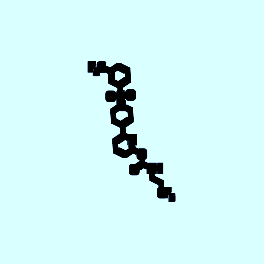 O=C(NCCC(F)(F)F)Oc1cccc(C2=CCN(S(=O)(=O)c3cccc(C(F)(F)F)c3)CC2)n1